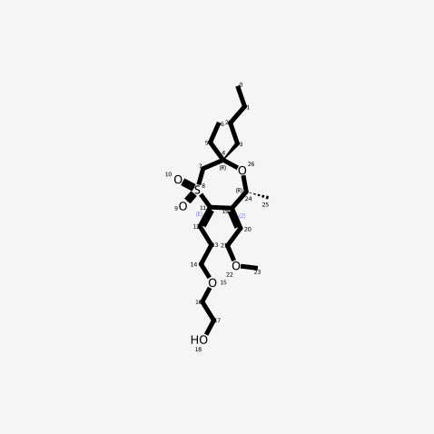 CCCC[C@]1(CC)CS(=O)(=O)C(=C/CCOCCO)/C(=C\COC)[C@@H](C)O1